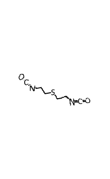 O=C=NCCSCCN=C=O